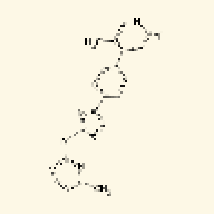 Cc1cccc(Nc2nc(-c3ccc(-c4cc(F)ncc4C)cc3)cs2)n1